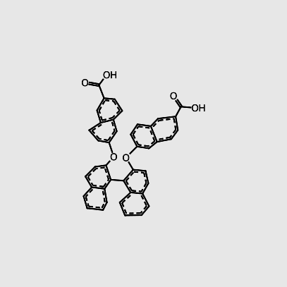 O=C(O)c1ccc2cc(Oc3ccc4ccccc4c3-c3c(Oc4ccc5cc(C(=O)O)ccc5c4)ccc4ccccc34)ccc2c1